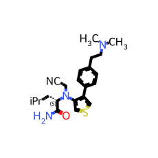 CC(C)C[C@@H](C(N)=O)N(CC#N)c1cscc1-c1ccc(CCN(C)C)cc1